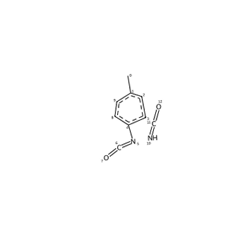 Cc1ccc(N=C=O)cc1.N=C=O